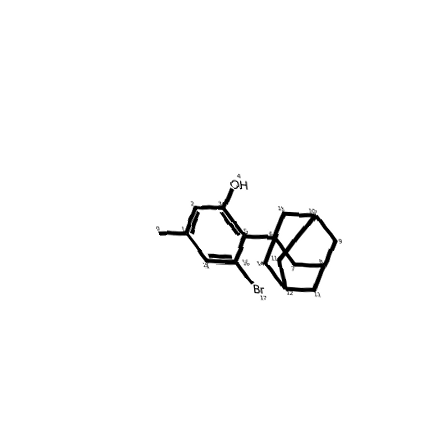 Cc1cc(O)c(C23CC4CC(CC(C4)C2)C3)c(Br)c1